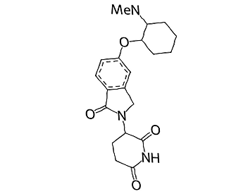 CNC1CCCCC1Oc1ccc2c(c1)CN(C1CCC(=O)NC1=O)C2=O